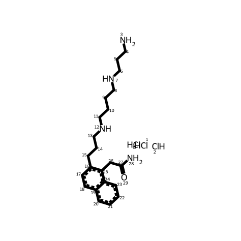 Cl.Cl.Cl.NCCCNCCCCNCCCc1ccc2ccccc2c1CC(N)=O